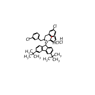 CC(C)(C)c1ccc2c(c1)-c1cc(C(C)(C)C)ccc1[CH]2[Zr]([C]1=CC=CC1)=[C](Cc1cccc(Cl)c1)Cc1cccc(Cl)c1.Cl.Cl